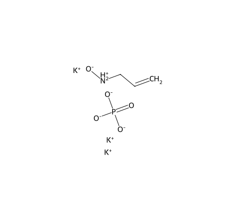 C=CC[NH2+][O-].O=P([O-])([O-])[O-].[K+].[K+].[K+]